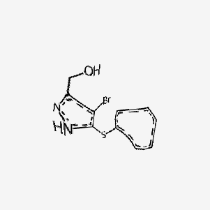 OCc1n[nH]c(Sc2ccccc2)c1Br